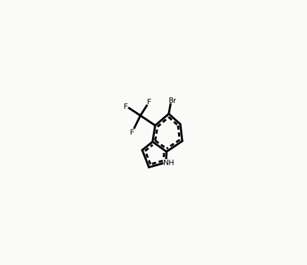 FC(F)(F)c1c(Br)ccc2[nH]ccc12